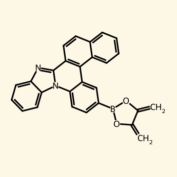 C=C1OB(c2ccc3c(c2)c2c4ccccc4ccc2c2nc4ccccc4n32)OC1=C